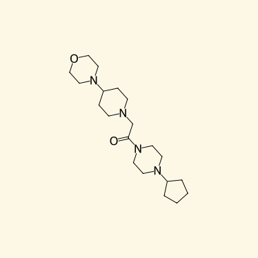 O=C(CN1CCC(N2CCOCC2)CC1)N1CCN(C2CCCC2)CC1